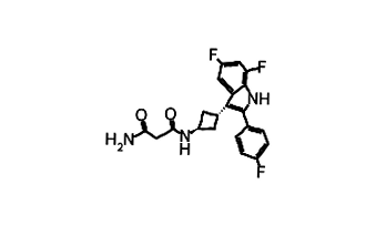 NC(=O)CC(=O)N[C@H]1C[C@H](c2c(-c3ccc(F)cc3)[nH]c3c(F)cc(F)cc32)C1